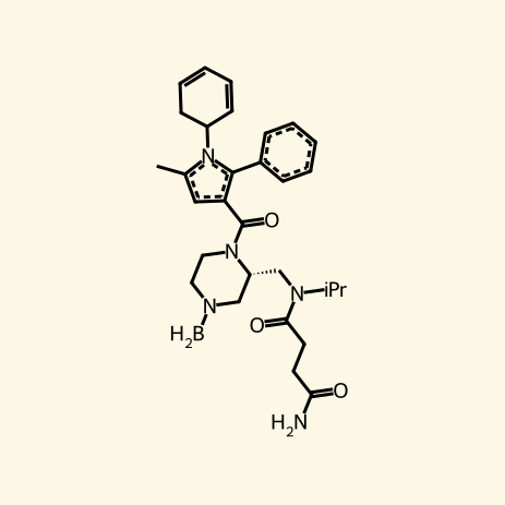 BN1CCN(C(=O)c2cc(C)n(C3C=CC=CC3)c2-c2ccccc2)[C@H](CN(C(=O)CCC(N)=O)C(C)C)C1